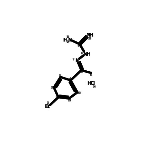 CCc1ccc(C(C)=NNC(=N)N)cc1.Cl